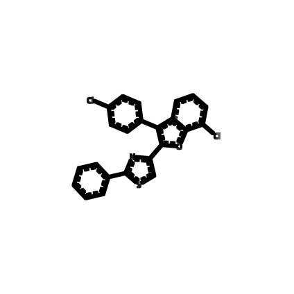 Clc1ccc(-c2c(-c3csc(-c4ccccc4)n3)oc3c(Cl)cccc23)cc1